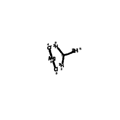 [2H][C]([2H])[2H].[Cl][Mg][Cl]